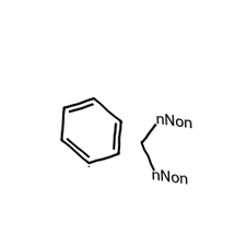 [CH2]CCCCCCCCCCCCCCCCCC.[c]1ccccc1